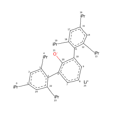 CC(C)c1cc(C(C)C)c(-c2cccc(-c3c(C(C)C)cc(C(C)C)cc3C(C)C)c2[O-])c(C(C)C)c1.[Li+]